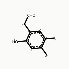 Cc1cc(O)c(CC=O)cc1C